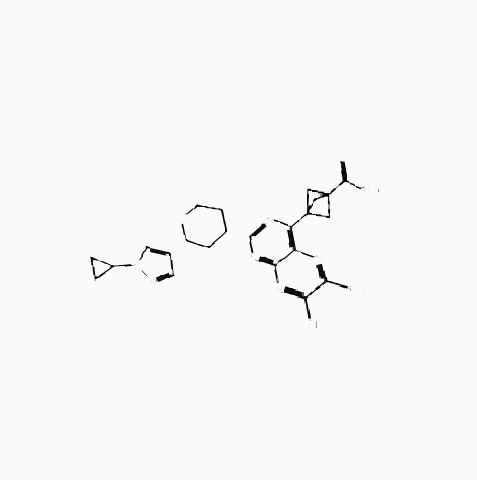 Cc1nc2nc([C@H]3CCO[C@@H](c4cnn(C5CC5)c4)C3)nc(C34CC(C(N)=O)(C3)C4)c2nc1C